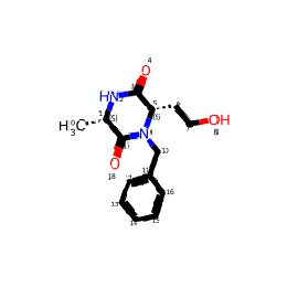 C[C@@H]1NC(=O)[C@H](CCO)N(Cc2ccccc2)C1=O